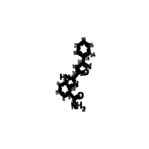 NC(=O)c1cccc2[nH]c(-c3cc(-c4ccccc4)no3)nc12